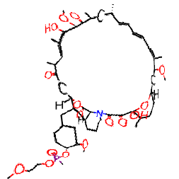 COCCOP(C)(=O)O[C@@H]1CCC(CC2[C@H]3CCCN4C(=O)C(=O)C5(O)O[C@@H](CCC5C)C[C@H](OC)/C(C)=C/C=C/C=C/[C@@H](C)CC(C)C(=O)[C@H](OC)C(O)/C(C)=C/C(C)C(=O)C[C@@H]2OC(=O)C34)CC1OC